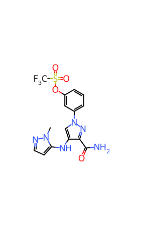 Cn1nccc1Nc1cn(-c2cccc(OS(=O)(=O)C(F)(F)F)c2)nc1C(N)=O